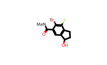 CNC(=O)c1cc2c(c(F)c1Br)CCC2O